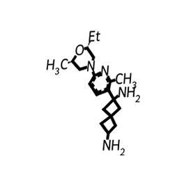 CC[C@@H]1CN(c2ccc(C3(N)CC4(CC(N)C4)C3)c(C)n2)C[C@H](C)O1